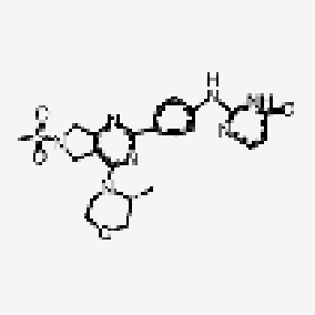 C[C@H]1COCCN1c1nc(-c2ccc(Nc3nccc(=O)[nH]3)cc2)nc2c1CN(S(C)(=O)=O)C2